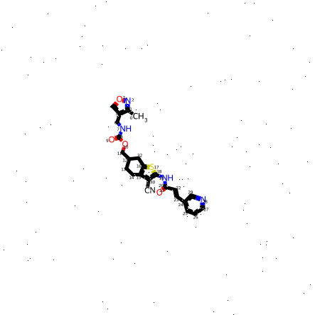 Cc1nocc1CNC(=O)OCC1CCc2c(sc(NC(=O)C=Cc3cccnc3)c2C#N)C1